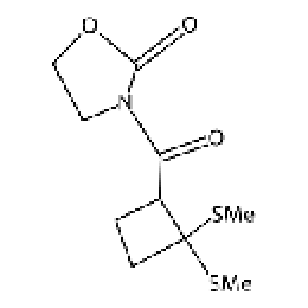 CSC1(SC)CCC1C(=O)N1CCOC1=O